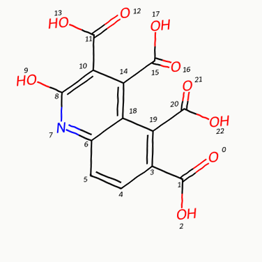 O=C(O)c1ccc2nc(O)c(C(=O)O)c(C(=O)O)c2c1C(=O)O